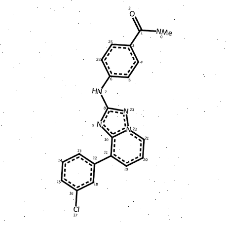 CNC(=O)c1ccc(Nc2nc3c(-c4cccc(Cl)c4)cccn3n2)cc1